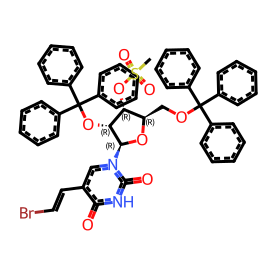 CS(=O)(=O)O[C@H]1[C@@H](OC(c2ccccc2)(c2ccccc2)c2ccccc2)[C@H](n2cc(C=CBr)c(=O)[nH]c2=O)O[C@@H]1COC(c1ccccc1)(c1ccccc1)c1ccccc1